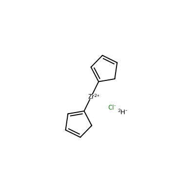 C1=CC[C]([Zr+2][C]2=CC=CC2)=C1.[2H-].[Cl-]